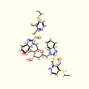 CCSc1ccnc(C[S+]([O-])c2nc3ccccc3n2CC(CCO)OC(CCO)Cn2c([S+]([O-])Cc3nccc(SCC)c3C)nc3ccccc32)c1C